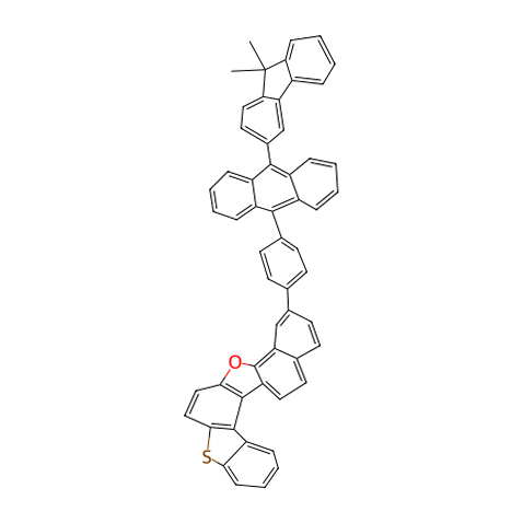 CC1(C)c2ccccc2-c2cc(-c3c4ccccc4c(-c4ccc(-c5ccc6ccc7c(oc8ccc9sc%10ccccc%10c9c87)c6c5)cc4)c4ccccc34)ccc21